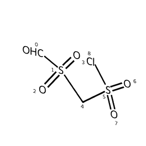 O=CS(=O)(=O)CS(=O)(=O)Cl